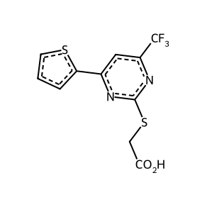 O=C(O)CSc1nc(-c2cccs2)cc(C(F)(F)F)n1